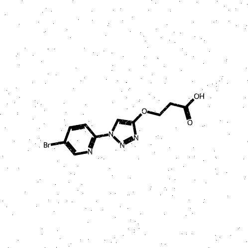 O=C(O)CCOc1cn(-c2ccc(Br)cn2)nn1